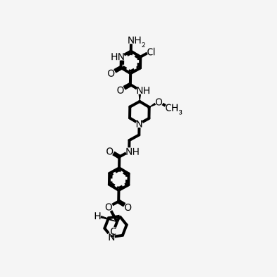 CO[C@H]1CN(CCNC(=O)c2ccc(C(=O)O[C@H]3CN4CCC3CC4)cc2)CC[C@H]1NC(=O)c1cc(Cl)c(N)[nH]c1=O